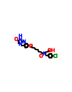 O=C1CN2Cc3ccc(OCCCCCCC(=O)N(CCO)Cc4ccc(Cl)cc4)cc3N=C2N1